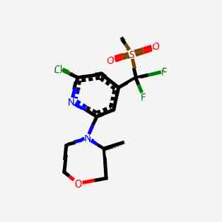 CC1COCCN1c1cc(C(F)(F)S(C)(=O)=O)cc(Cl)n1